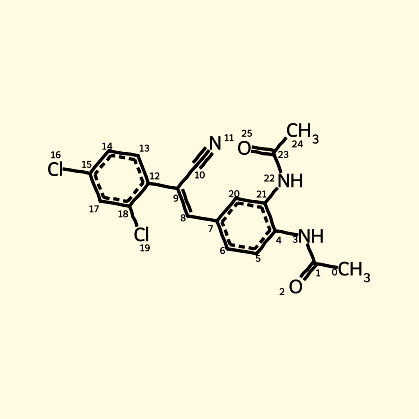 CC(=O)Nc1ccc(C=C(C#N)c2ccc(Cl)cc2Cl)cc1NC(C)=O